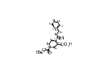 CC(C)(C)OC(=O)C1CC[C@H](NCCc2ccccc2)C(C(=O)O)C1